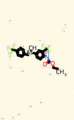 CCCOC(=O)Nc1ccc([As](C)Cc2ccc(C(F)(F)F)cc2)cc1C(F)(F)F